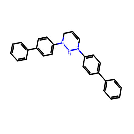 C1=CN(c2ccc(-c3ccccc3)cc2)NN(c2ccc(-c3ccccc3)cc2)C1